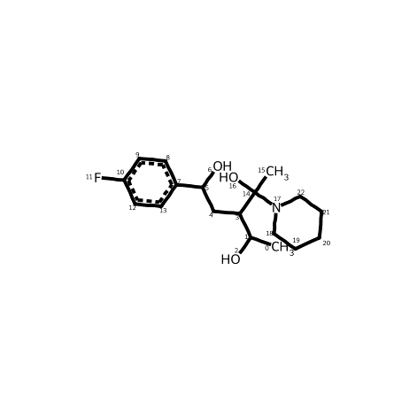 CC(O)C(CC(O)c1ccc(F)cc1)C(C)(O)N1CCCCC1